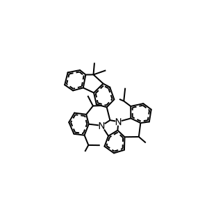 CC(C)c1cccc(C(C)C)c1N1c2cccc3c2N(c2c(C(C)C)cccc2C3C)C1c1ccc2c(c1)-c1ccccc1C2(C)C